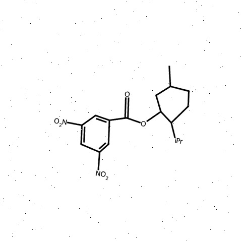 CC1CCC(C(C)C)C(OC(=O)c2cc([N+](=O)[O-])cc([N+](=O)[O-])c2)C1